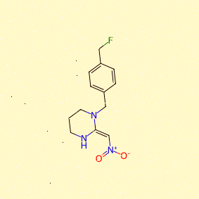 O=[N+]([O-])C=C1NCCCN1Cc1ccc(CF)cc1